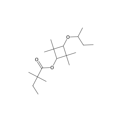 CCC(C)OC1C(C)(C)C(OC(=O)C(C)(C)CC)C1(C)C